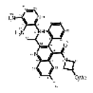 COC1CN(C(=O)c2c(-c3ccccc3)c(C(C)Nc3ncnc(N)c3N)nc3ccc(F)cc23)C1